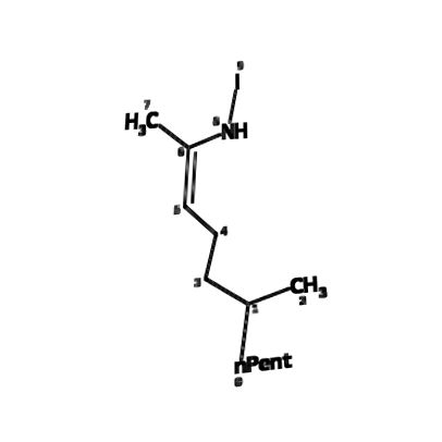 CCCCCC(C)CC/C=C(/C)NI